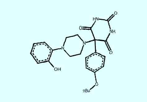 CCCCOc1ccc(C2(N3CCN(c4ccccc4O)CC3)C(=O)NC(=O)NC2=O)cc1